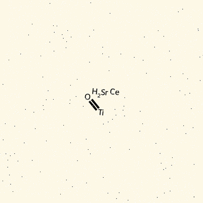 [Ce].[O]=[Ti].[SrH2]